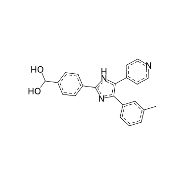 Cc1cccc(-c2nc(-c3ccc(C(O)O)cc3)[nH]c2-c2ccncc2)c1